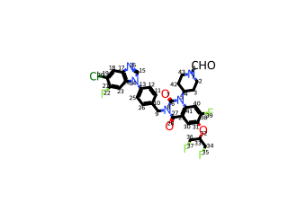 O=CN1CCC(n2c(=O)n(Cc3ccc(-n4cnc5cc(Cl)c(F)cc54)cc3)c(=O)c3cc(OC(CF)CF)c(F)cc32)CC1